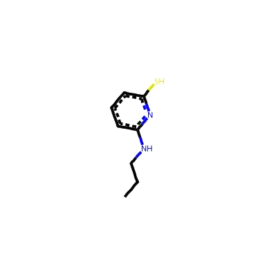 CCCNc1cccc(S)n1